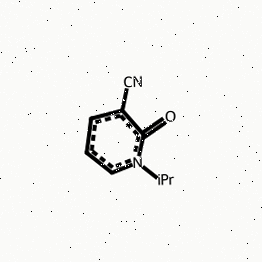 CC(C)n1cccc(C#N)c1=O